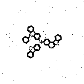 c1ccc(-n2c3ccccc3c3ccc(N(c4ccc5c(ccc6sc7ccccc7c65)c4)c4ccc5c(c4)oc4ccccc45)cc32)cc1